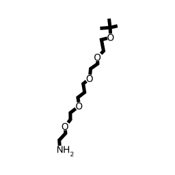 CC(C)(C)OCCOCCOCCCOCCOCCN